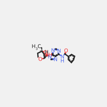 CC[C@@]12CCOC([C@H](n3cnc4c(NC(=O)c5ccccc5)ncnc43)O1)[C@H]2O